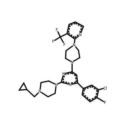 Fc1ccc(-c2cc(N3CCN(c4ncccc4C(F)(F)F)CC3)nc(N3CCN(CC4CC4)CC3)n2)cc1Cl